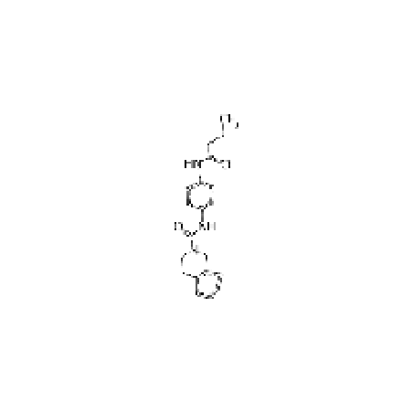 O=C(CCC(F)(F)F)Nc1ccc(NC(=O)N2CCc3ccccc3C2)cc1